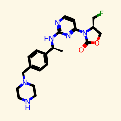 C[C@H](Nc1nccc(N2C(=O)OC[C@@H]2CF)n1)c1ccc(CN2CCNCC2)cc1